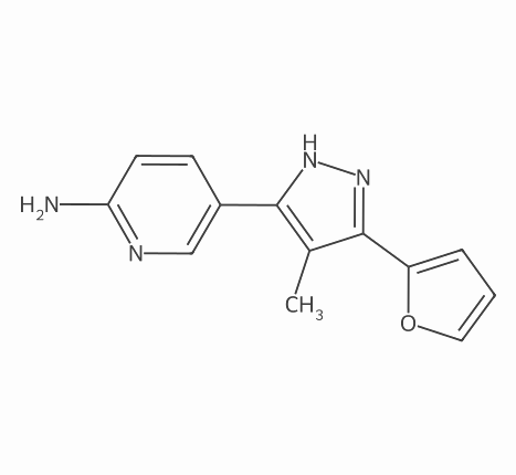 Cc1c(-c2ccco2)n[nH]c1-c1ccc(N)nc1